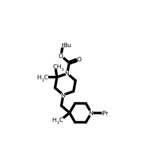 CC(C)N1CCC(C)(CN2CCN(C(=O)OC(C)(C)C)C(C)(C)C2)CC1